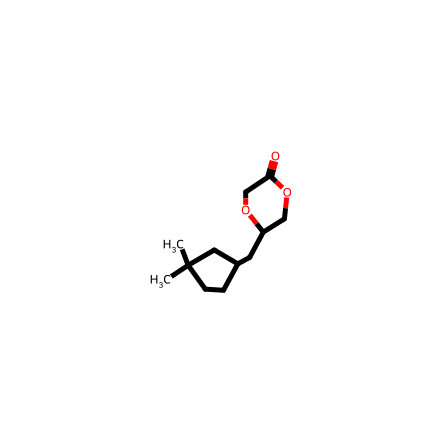 CC1(C)CCC(CC2COC(=O)CO2)C1